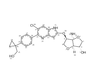 N[C@]12OC[C@H](O)[C@H]1OC[C@H]2Oc1cc2nc(-c3ccc(C4(CO)CC4)cc3)c(Cl)cc2[nH]1